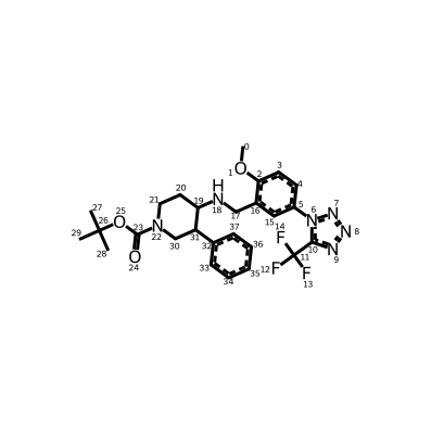 COc1ccc(-n2nnnc2C(F)(F)F)cc1CNC1CCN(C(=O)OC(C)(C)C)CC1c1ccccc1